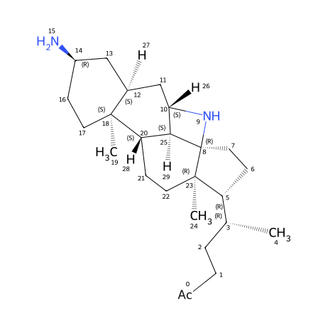 CC(=O)CC[C@@H](C)[C@H]1CC[C@]23N[C@H]4C[C@@H]5C[C@H](N)CC[C@]5(C)[C@@H](CC[C@]12C)[C@@H]43